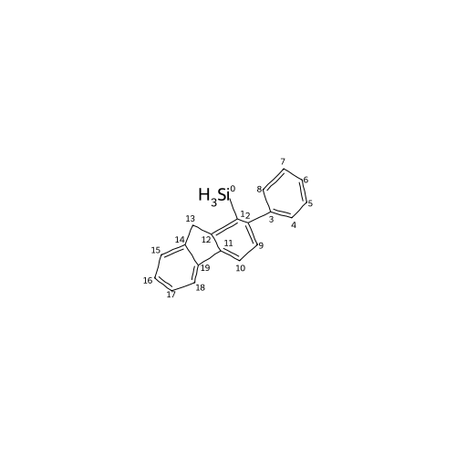 [SiH3]c1c(-c2ccccc2)ccc2c1Cc1ccccc1-2